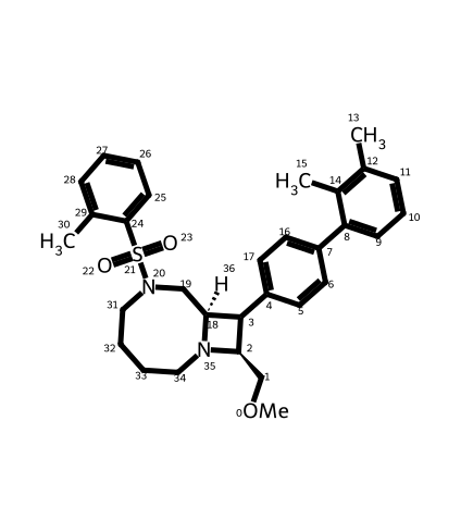 COC[C@@H]1C(c2ccc(-c3cccc(C)c3C)cc2)[C@@H]2CN(S(=O)(=O)c3ccccc3C)CCCCN12